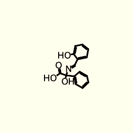 O=C(O)C(O)(N=Cc1ccccc1O)c1ccccc1